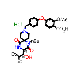 CCCCN1C(=O)[C@@H]([C@H](O)C(CC)CC)NC(=O)C12CCN(Cc1ccc(Oc3ccc(C(=O)O)c(OC)c3)cc1)CC2.Cl